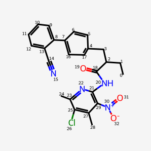 CCC(Cc1ccc(-c2ccccc2C#N)cc1)C(=O)Nc1nc(C)c(Cl)c(C)c1[N+](=O)[O-]